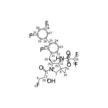 O=C([C@H](O)CF)N1CC2(CC2)[C@H](NS(=O)(=O)C(F)F)[C@@H]1Cc1cccc(-c2cc(F)cc(F)c2)c1F